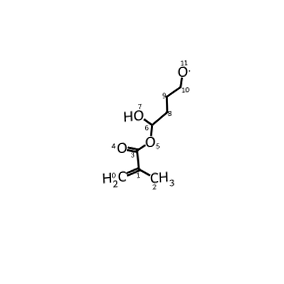 C=C(C)C(=O)OC(O)CCC[O]